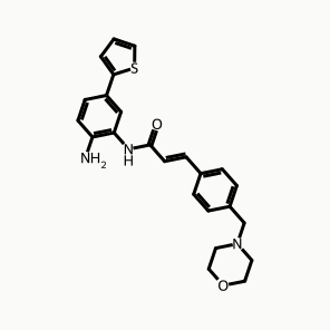 Nc1ccc(-c2cccs2)cc1NC(=O)C=Cc1ccc(CN2CCOCC2)cc1